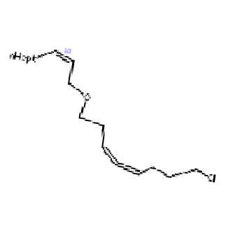 CCCCCCC/C=C\COCCC=C=CCCCCl